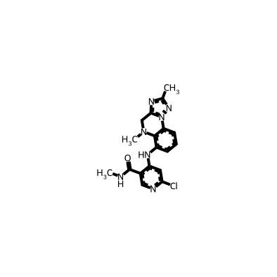 CNC(=O)c1cnc(Cl)cc1Nc1cccc2c1N(C)Cc1nc(C)nn1-2